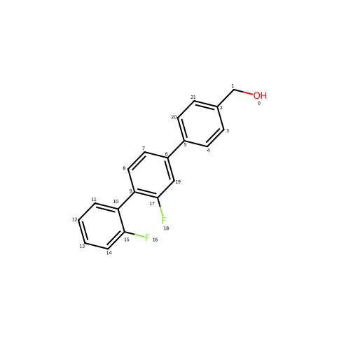 OCc1ccc(-c2ccc(-c3ccccc3F)c(F)c2)cc1